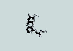 CCCOC(=O)COc1ncccc1Oc1nc(C)c(F)cc1Cl